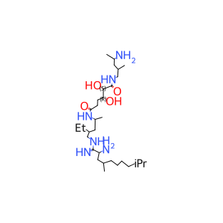 CCC(CNC(=N)C(N)CC(C)CCCCC(C)C)CC(C)NC(=O)CC[C@@H](O)[C@H](O)C(=O)NCC(C)CC(C)N